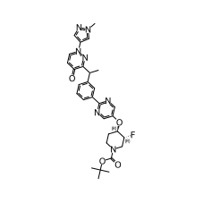 CC(c1cccc(-c2ncc(O[C@@H]3CCN(C(=O)OC(C)(C)C)C[C@H]3F)cn2)c1)c1nn(-c2cnn(C)c2)ccc1=O